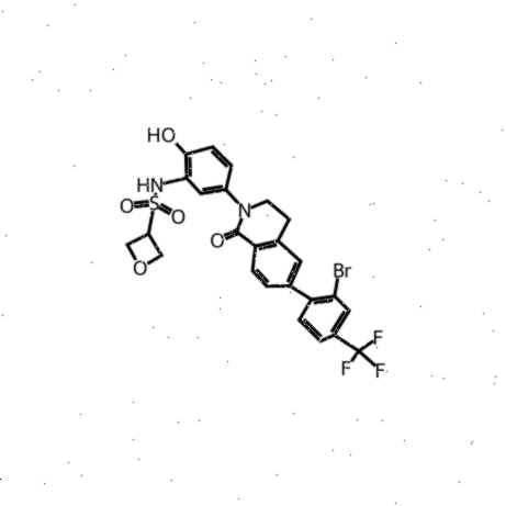 O=C1c2ccc(-c3ccc(C(F)(F)F)cc3Br)cc2CCN1c1ccc(O)c(NS(=O)(=O)C2COC2)c1